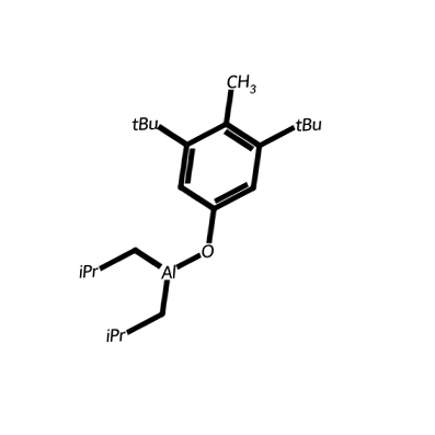 Cc1c(C(C)(C)C)cc([O][Al]([CH2]C(C)C)[CH2]C(C)C)cc1C(C)(C)C